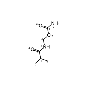 CC(C)C(=O)NCOC([NH])=O